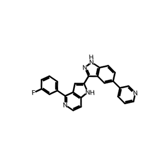 Fc1cccc(-c2nccc3[nH]c(-c4n[nH]c5ccc(-c6cccnc6)cc45)cc23)c1